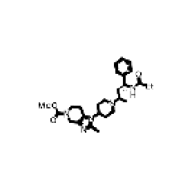 CCC(=O)N[C@@H](CC(C)N1CCC(n2c(C)nc3c2CCN(C(=O)OC)C3)CC1)c1ccccc1